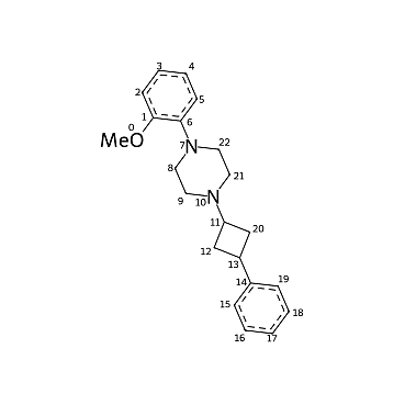 COc1ccccc1N1CCN(C2CC(c3ccccc3)C2)CC1